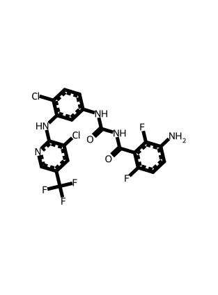 Nc1ccc(F)c(C(=O)NC(=O)Nc2ccc(Cl)c(Nc3ncc(C(F)(F)F)cc3Cl)c2)c1F